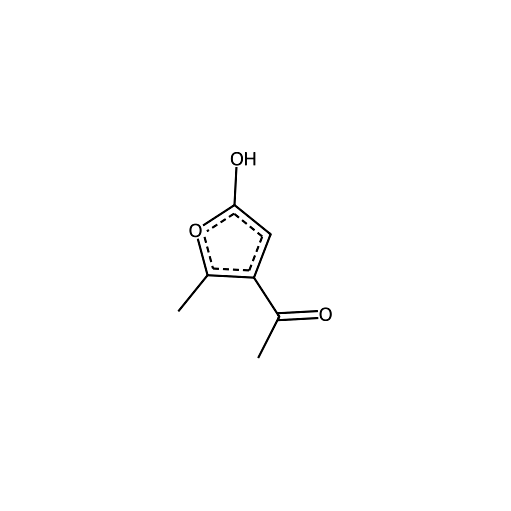 CC(=O)c1cc(O)oc1C